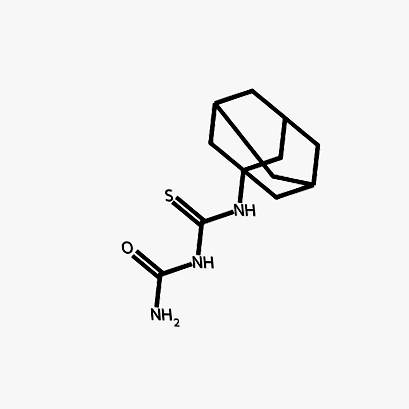 NC(=O)NC(=S)NC12CC3CC(CC(C3)C1)C2